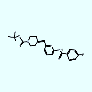 CC(C)(C)OC(=O)N1CCC(=Cc2cccc(NC(=O)c3ccc(F)cc3)n2)CC1